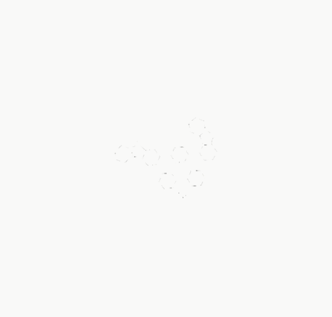 N#Cc1ccccc1-c1ccccc1-c1cc(-c2cccc3sc4ccccc4c23)ccc1-c1ccc2c(c1)sc1ccccc12